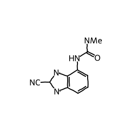 CNC(=O)Nc1cccc2c1[N]C(C#N)[N]2